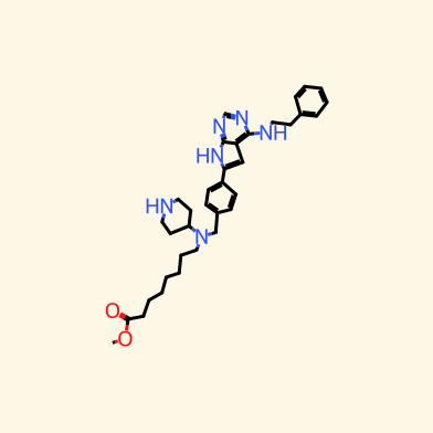 COC(=O)CCCCCCCN(Cc1ccc(-c2cc3c(NCCc4ccccc4)ncnc3[nH]2)cc1)C1CCNCC1